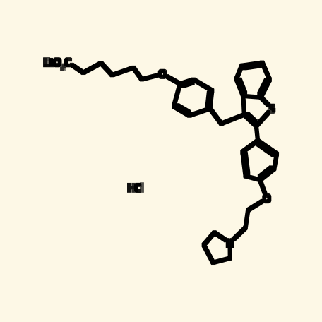 CCOC(=O)CCCCCOc1ccc(Cc2c(-c3ccc(OCCN4CCCC4)cc3)sc3ccccc23)cc1.Cl